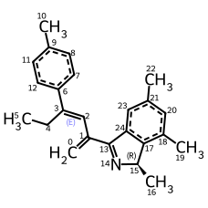 C=C(/C=C(\CC)c1ccc(C)cc1)C1=N[C@H](C)c2c(C)cc(C)cc21